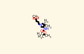 COC(=O)CCCN1C[C@H](NC(=O)OC(C)(C)C)C(C)(C)C1